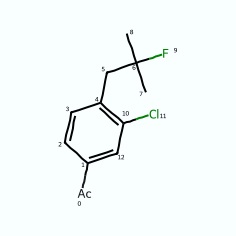 CC(=O)c1ccc(CC(C)(C)F)c(Cl)c1